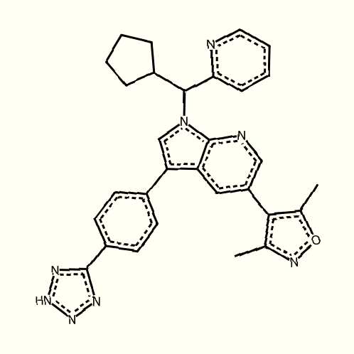 Cc1noc(C)c1-c1cnc2c(c1)c(-c1ccc(-c3nn[nH]n3)cc1)cn2C(c1ccccn1)C1CCCC1